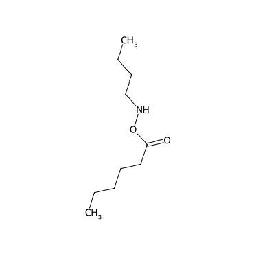 CCCCCC(=O)ONCCCC